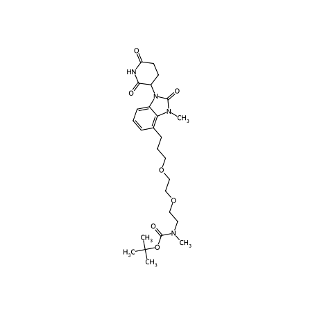 CN(CCOCCOCCCc1cccc2c1n(C)c(=O)n2C1CCC(=O)NC1=O)C(=O)OC(C)(C)C